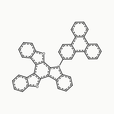 c1ccc2c(c1)oc1c2c2c3ccccc3oc2c2c1c1ccccc1n2-c1ccc2c3ccccc3c3ccccc3c2c1